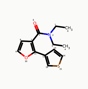 CCN(CC)C(=O)c1ccoc1-c1ccsc1